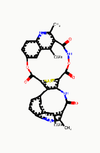 COc1c2c(C)nc3ccc(cc13)OC(=O)c1sc(c3c1-c1ccc4nc(C)c(c(OC)c4c1)C(=O)N3)C(=O)ONC2=O